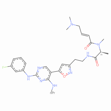 CCCNc1nc(Nc2cccc(F)c2)ncc1-c1cc(CCNC(=O)[C@H](C)N(C)C(=O)C=CCN(C)C)no1